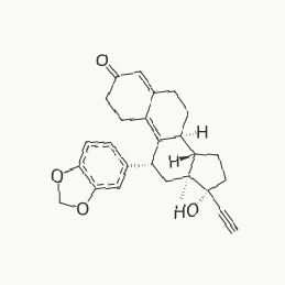 C#C[C@]1(O)CC[C@H]2[C@@H]3CCC4=CC(=O)CCC4=C3[C@@H](c3ccc4c(c3)OCO4)C[C@@]21C